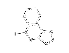 Fc1nc2ccoc2c2ccccc12